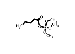 CCCCC(=O)O[Si](OC)(OC)OC